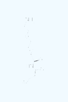 CC(=O)CCC(NC(=O)COCCOCCN)C(C)=O